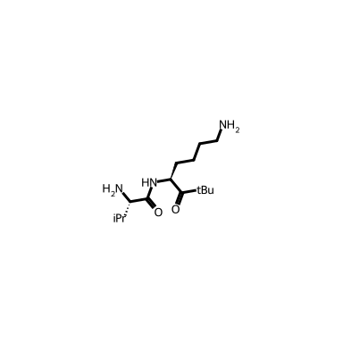 CC(C)[C@H](N)C(=O)N[C@@H](CCCCN)C(=O)C(C)(C)C